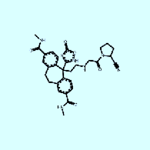 CNC(=O)c1ccc2c(c1)CCc1cc(C(=O)NC)ccc1C2(CCNCC(=O)N1CCCC1C#N)c1nc(=O)o[nH]1